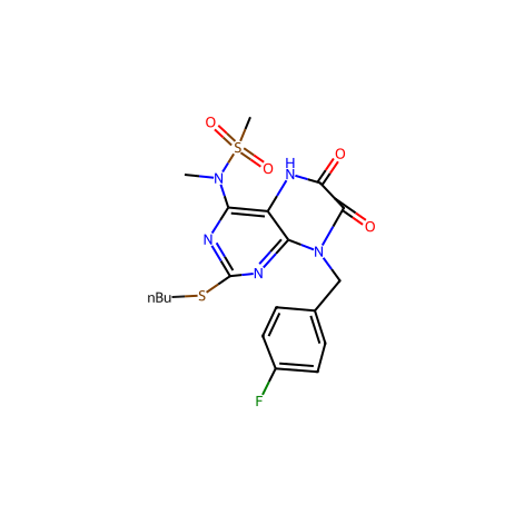 CCCCSc1nc(N(C)S(C)(=O)=O)c2[nH]c(=O)c(=O)n(Cc3ccc(F)cc3)c2n1